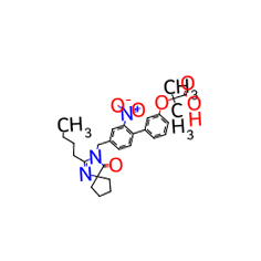 CCCCC1=NC2(CCCC2)C(=O)N1Cc1ccc(-c2cccc(OC(C)(C)C(=O)O)c2)c([N+](=O)[O-])c1